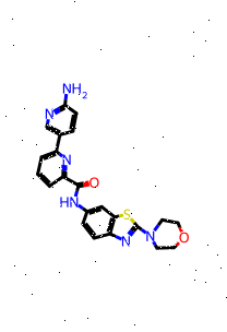 Nc1ccc(-c2cccc(C(=O)Nc3ccc4nc(N5CCOCC5)sc4c3)n2)cn1